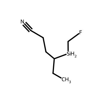 CCC(CCC#N)[SiH2]CF